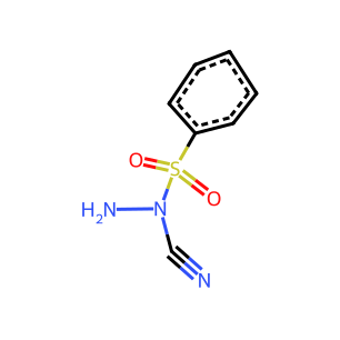 N#CN(N)S(=O)(=O)c1ccccc1